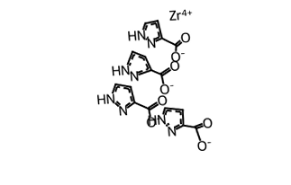 O=C([O-])c1cc[nH]n1.O=C([O-])c1cc[nH]n1.O=C([O-])c1cc[nH]n1.O=C([O-])c1cc[nH]n1.[Zr+4]